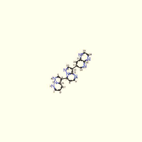 c1cnn2ncc(-c3ccnc4c(-c5cnc6nccnc6c5)cnn34)c2c1